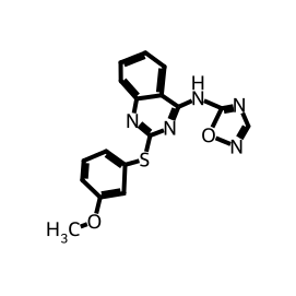 COc1cccc(Sc2nc(Nc3ncno3)c3ccccc3n2)c1